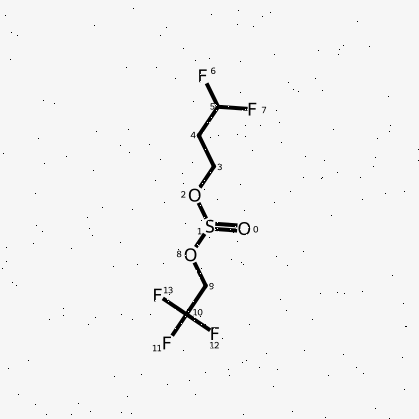 O=S(OCCC(F)F)OCC(F)(F)F